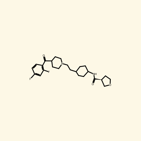 O=C(c1ccc(F)cc1F)C1CCN(CCC2CCC(NC(=O)[C@H]3CCOC3)CC2)CC1